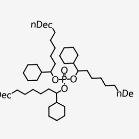 CCCCCCCCCCCCCCCC(OP(=O)(OC(CCCCCCCCCCCCCCC)C1CCCCC1)OC(CCCCCCCCCCCCCCC)C1CCCCC1)C1CCCCC1